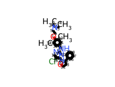 CCN(CC)CCOc1c(C)cc(Nc2ncc(Cl)c(N3OCCC3c3ccccc3)n2)cc1C